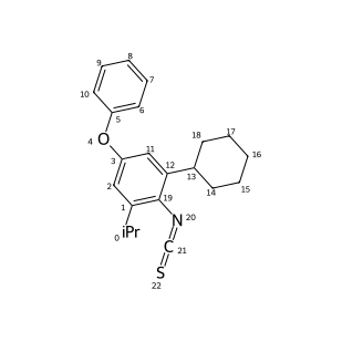 CC(C)c1cc(Oc2ccccc2)cc(C2CCCCC2)c1N=C=S